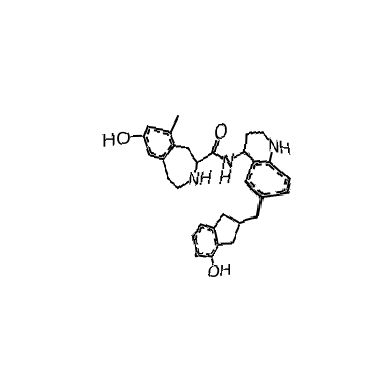 Cc1cc(O)cc2c1CC(C(=O)NC1CCNc3ccc(CC4Cc5cccc(O)c5C4)cc31)NCC2